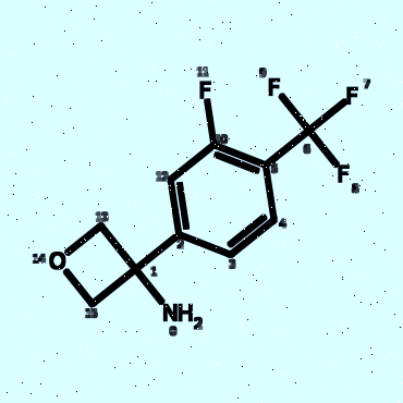 NC1(c2ccc(C(F)(F)F)c(F)c2)COC1